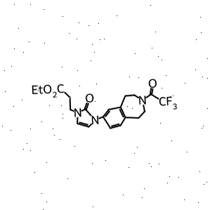 CCOC(=O)CCn1ccn(-c2ccc3c(c2)CCN(C(=O)C(F)(F)F)CC3)c1=O